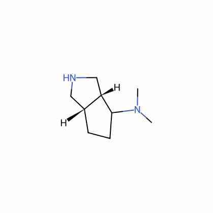 CN(C)C1CC[C@@H]2CNC[C@H]12